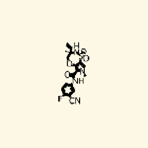 C=C[C@@]1(C)COc2c(cn(C)c2C(=O)Nc2ccc(F)c(C#N)c2)S(=O)(=O)N1